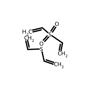 C=CS(=O)(=O)C=C.C=CSC=C